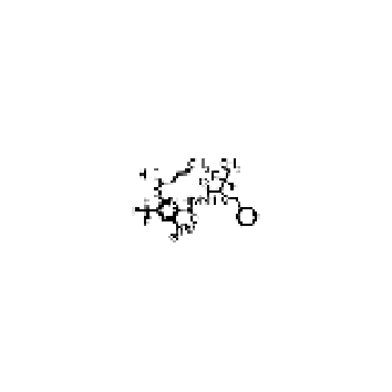 C=CCCC(C)Oc1nc(C(=O)NNC(=O)C(OCc2ccccc2)C(F)(F)C=C)c([N+](=O)[O-])cc1C(F)(F)F